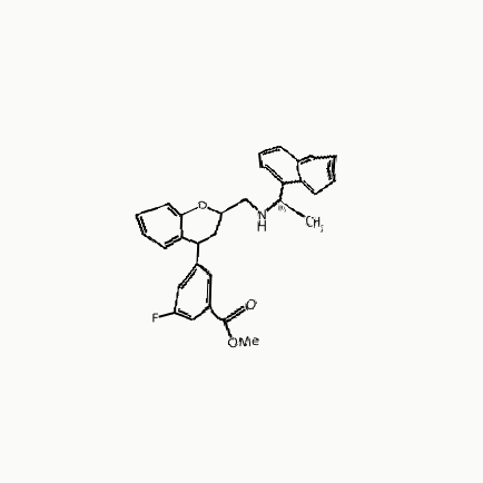 COC(=O)c1cc(F)cc(C2CC(CN[C@H](C)c3cccc4ccccc34)Oc3ccccc32)c1